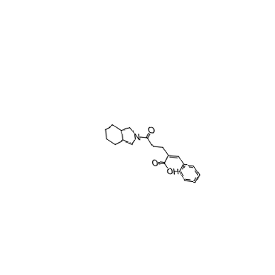 O=C(O)C(=Cc1ccccc1)CCC(=O)N1CC2CCCCC2C1